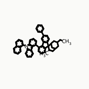 CCC1CC2CC(C)C3(c4ccc(-c5ccccc5)cc4-c4c(-c5cccc6c5c5ccccc5n6-c5cccc6ccccc56)cccc43)C(C1)C2